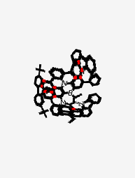 CCc1ccccc1-c1cccc2c3ccccc3n([C@H]3C(C)B4c5cc(-c6ccccc6)c(-n6c7ccccc7c7ccccc76)cc5N(c5c(-c6ccccc6)cccc5-c5ccccc5)c5cc(-n6c7cc(C(C)(C)C)ccc7c7ccc(C(C)(C)C)cc76)cc(c54)N(c4c(-c5ccccc5)cccc4-c4ccccc4)C3C)c12